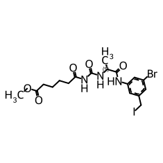 COC(=O)CCCCC(=O)NC(=O)N[C@@H](C)C(=O)Nc1cc(Br)cc(CI)c1